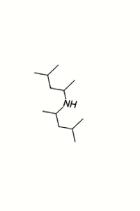 CC(C)CC(C)NC(C)CC(C)C